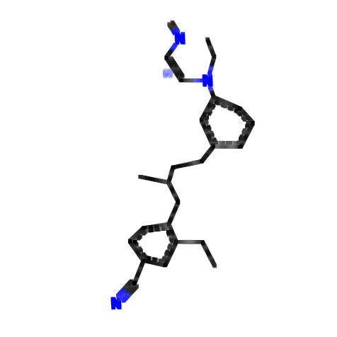 C=N/C=C\N(CC)c1cccc(CCC(C)Cc2ccc(C#N)cc2CC)c1